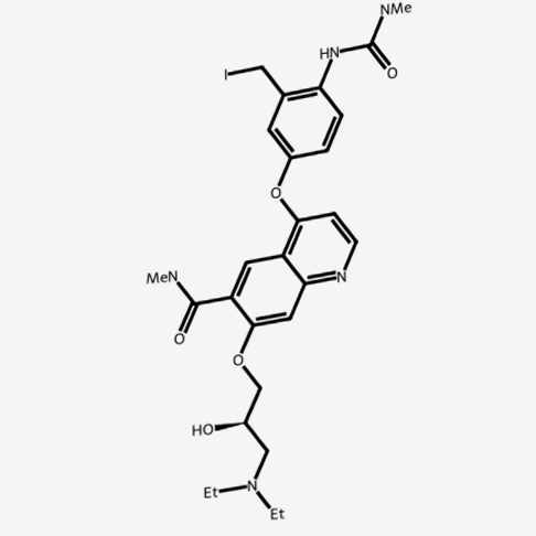 CCN(CC)C[C@@H](O)COc1cc2nccc(Oc3ccc(NC(=O)NC)c(CI)c3)c2cc1C(=O)NC